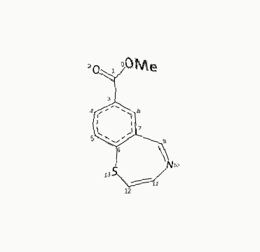 COC(=O)c1ccc2c(c1)C=NC=CS2